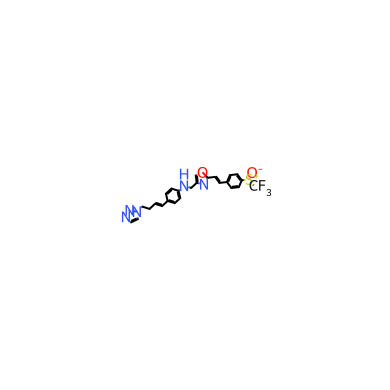 [O-][S+](c1ccc(C=Cc2nc(CNc3ccc(C=CCCn4ccnn4)cc3)co2)cc1)C(F)(F)F